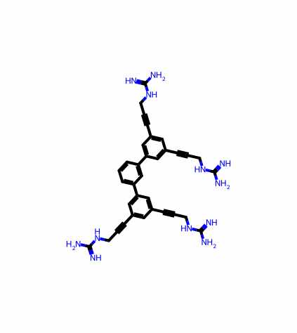 N=C(N)NCC#Cc1cc(C#CCNC(=N)N)cc(-c2cccc(-c3cc(C#CCNC(=N)N)cc(C#CCNC(=N)N)c3)c2)c1